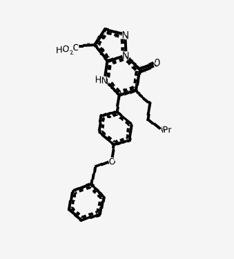 CC(C)CCc1c(-c2ccc(OCc3ccccc3)cc2)[nH]c2c(C(=O)O)cnn2c1=O